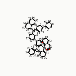 c1ccc(-c2ccc(N(c3cccc(-c4ccc5c(c4)[SiH](c4ccccc4)c4ccccc4C54c5ccccc5Sc5ccccc54)c3)c3cccc4ccccc34)cc2)cc1